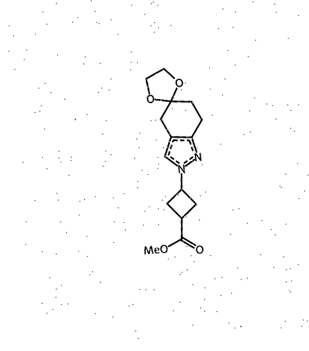 COC(=O)C1CC(n2cc3c(n2)CCC2(C3)OCCO2)C1